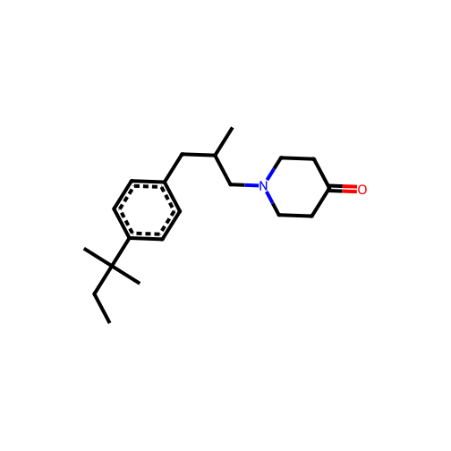 CCC(C)(C)c1ccc(CC(C)CN2CCC(=O)CC2)cc1